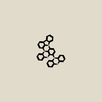 c1ccc2c(c1)Oc1c(N3c4ccccc4Oc4ccccc43)ccc3c1B2c1cccc2c4ccccc4n-3c12